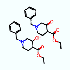 CCOC(=O)C1CCN(Cc2ccccc2)CC1=O.CCOC(=O)C1CCN(Cc2ccccc2)CC1O